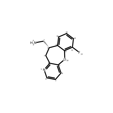 NC[C@H]1Cc2ncccc2Oc2c(F)cccc21